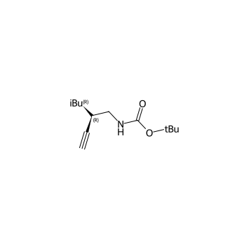 C#C[C@H](CNC(=O)OC(C)(C)C)[C@H](C)CC